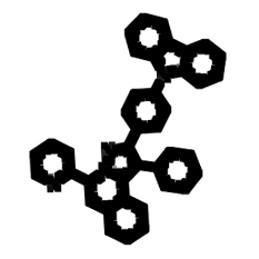 c1ccc(-c2c(-c3ccc(-n4c5ccccc5c5ccccc54)cc3)nn3c(-c4ccccn4)cc4ccccc4c23)cc1